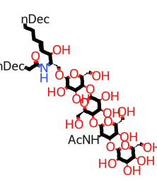 CCCCCCCCCCCCC/C=C/[C@@H](O)[C@H](CO[C@@H]1O[C@H](CO)[C@@H](O[C@@H]2O[C@H](CO)[C@H](O[C@@H]3O[C@H](CO)[C@H](O)[C@H](O[C@@H]4O[C@H](CO)[C@H](O)[C@H](O)[C@H]4O)[C@H]3NC(C)=O)[C@H](O)[C@H]2O)[C@H](O)C1O)NC(=O)CCCCCCCCCCC